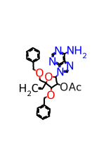 C=CC1(COCc2ccccc2)OC(n2cnc3c(N)ncnc32)C(OC(C)=O)C1OCc1ccccc1